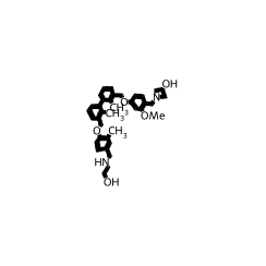 COc1cc(OCc2cccc(-c3cccc(COc4ccc(CNCCO)cc4C)c3C)c2C)ccc1CN1CC(O)C1